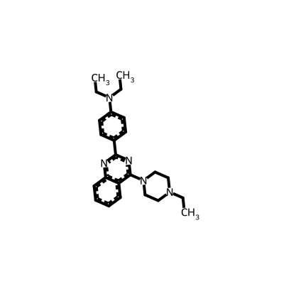 CCN1CCN(c2nc(-c3ccc(N(CC)CC)cc3)nc3ccccc23)CC1